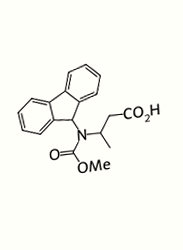 COC(=O)N(C(C)CC(=O)O)C1c2ccccc2-c2ccccc21